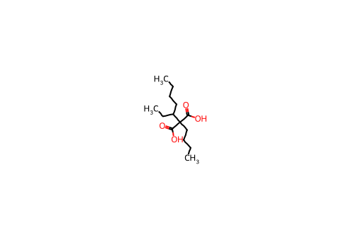 CCCCC(CC)C(CCCC)(C(=O)O)C(=O)O